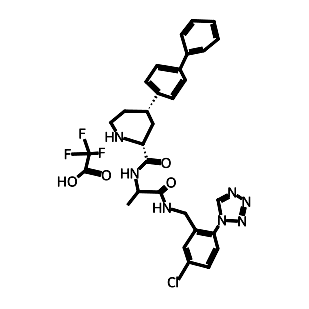 CC(NC(=O)[C@H]1C[C@@H](c2ccc(-c3ccccc3)cc2)CCN1)C(=O)NCc1cc(Cl)ccc1-n1cnnn1.O=C(O)C(F)(F)F